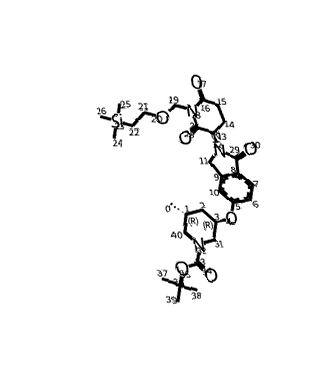 C[C@@H]1C[C@@H](Oc2ccc3c(c2)CN([C@@H]2CCC(=O)N(COCC[Si](C)(C)C)C2=O)C3=O)CN(C(=O)OC(C)(C)C)C1